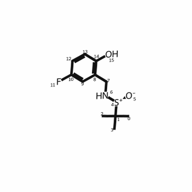 CC(C)(C)[S@+]([O-])NCc1cc(F)ccc1O